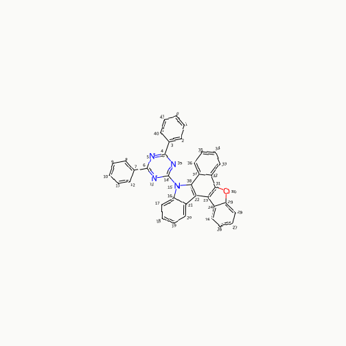 c1ccc(-c2nc(-c3ccccc3)nc(-n3c4ccccc4c4c5c6ccccc6oc5c5ccccc5c43)n2)cc1